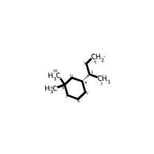 [CH2]CC(C)[C@@H]1CCCC(C)(C)C1